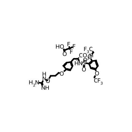 N=C(N)NOCCCOc1ccc(C[C@H](NS(=O)(=O)c2cc(OCC(F)(F)F)ccc2OCC(F)(F)F)C(=O)O)cc1.O=C(O)C(F)(F)F